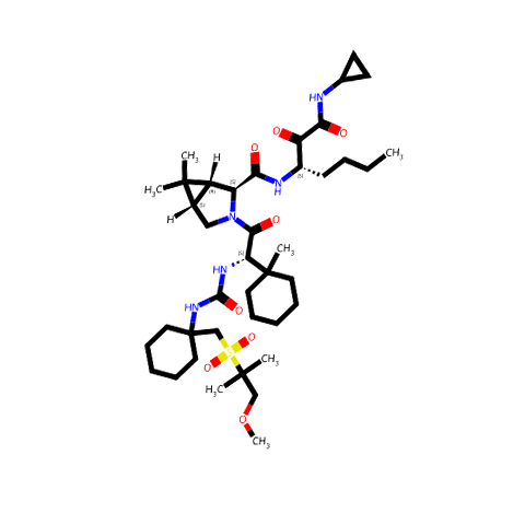 CCCC[C@H](NC(=O)[C@@H]1[C@@H]2[C@H](CN1C(=O)[C@@H](NC(=O)NC1(CS(=O)(=O)C(C)(C)COC)CCCCC1)C1(C)CCCCC1)C2(C)C)C(=O)C(=O)NC1CC1